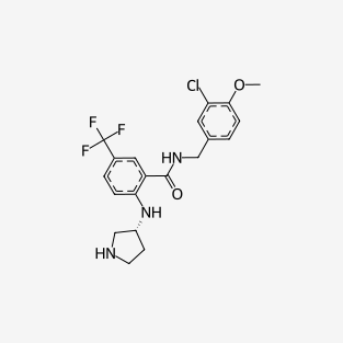 COc1ccc(CNC(=O)c2cc(C(F)(F)F)ccc2N[C@@H]2CCNC2)cc1Cl